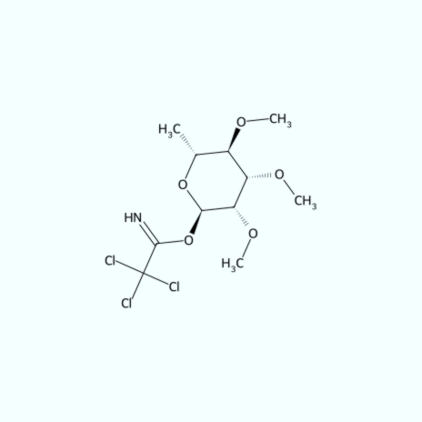 CO[C@@H]1[C@H](OC)[C@@H](OC(=N)C(Cl)(Cl)Cl)O[C@H](C)[C@H]1OC